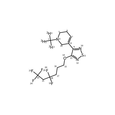 [2H]C([2H])([2H])N1CCC=C(c2nsnc2OCCCC(F)(F)CC(F)(F)F)C1